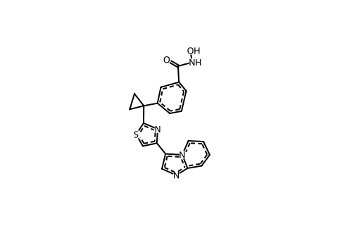 O=C(NO)c1cccc(C2(c3nc(-c4cnc5ccccn45)cs3)CC2)c1